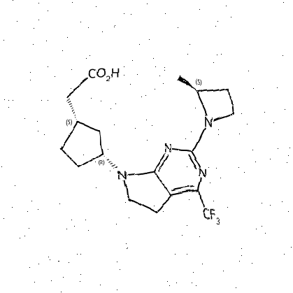 C[C@H]1CCN1c1nc2c(c(C(F)(F)F)n1)CCN2[C@@H]1CC[C@H](CC(=O)O)C1